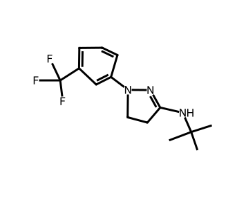 CC(C)(C)NC1=NN(c2cccc(C(F)(F)F)c2)CC1